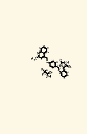 Cc1cc(COc2ccc(CSc3ccccc3C3NC(=O)NC3=O)cc2)c2ccccc2n1.O=C(O)C(F)(F)F